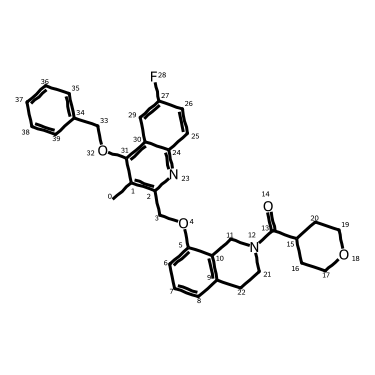 Cc1c(COc2cccc3c2CN(C(=O)C2CCOCC2)CC3)nc2ccc(F)cc2c1OCc1ccccc1